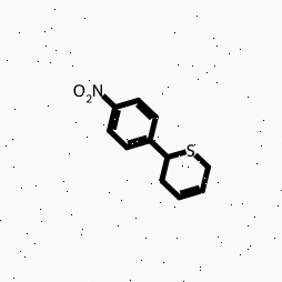 O=[N+]([O-])c1ccc(C2CC=CCS2)cc1